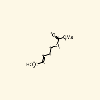 COC(=O)OCCC=CC(=O)O